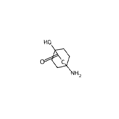 NC12CCC(O)(CC1)C(=O)C2